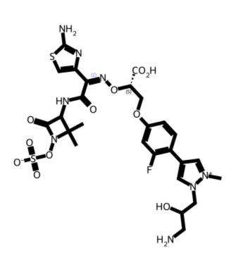 C[n+]1cc(-c2ccc(OC[C@H](O/N=C(\C(=O)NC3C(=O)N(OS(=O)(=O)[O-])C3(C)C)c3csc(N)n3)C(=O)O)cc2F)cn1CC(O)CN